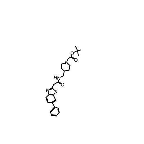 CC(C)(C)OC(=O)CN1CCC(CNC(=O)Cc2nc3ccc(-c4ccccc4)cc3s2)CC1